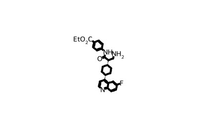 CCOC(=O)c1ccc(NC(=O)C(CN)[C@H]2CC[C@@H](c3ccnc4ccc(F)cc43)CC2)cc1